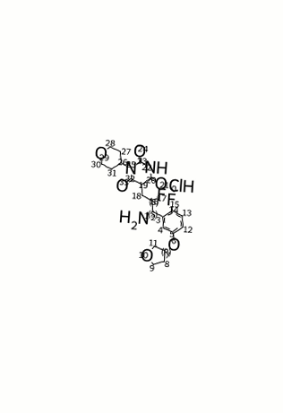 Cl.N[C@@H](c1cc(O[C@@H]2CCOC2)ccc1F)[C@@H](F)CC1C(=O)NC(=O)N(C2CCOCC2)C1=O